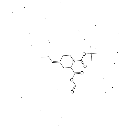 CCC=C1CCN(C(=O)OC(C)(C)C)C(C(=O)OC=O)C1